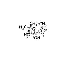 CC1CCN1C(C)(O)OC(C)(C)C